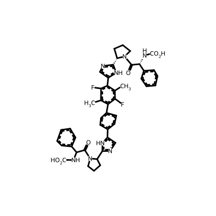 Cc1c(F)c(-c2cnc([C@@H]3CCCN3C(=O)[C@H](NC(=O)O)c3ccccc3)[nH]2)c(C)c(F)c1-c1ccc(-c2cnc(C3CCCN3C(=O)C(NC(=O)O)c3ccccc3)[nH]2)cc1